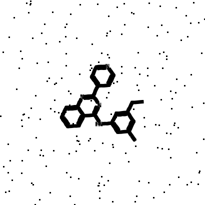 CCc1cc(C)cc(Nc2nc(-c3ccncc3)nc3ccccc23)c1